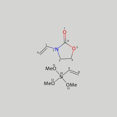 C=CN1CCOC1=O.C=C[Si](OC)(OC)OC